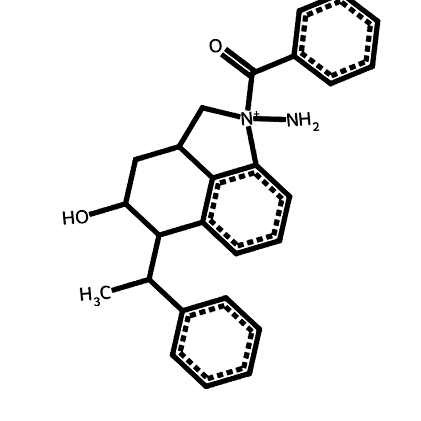 CC(c1ccccc1)C1c2cccc3c2C(CC1O)C[N+]3(N)C(=O)c1ccccc1